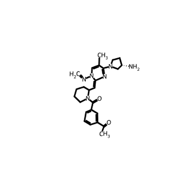 C=NN1C=C(C)C(N2CC[C@H](N)C2)=N/C1=C/C1CCCCN1C(=O)c1cccc(C(C)=O)c1